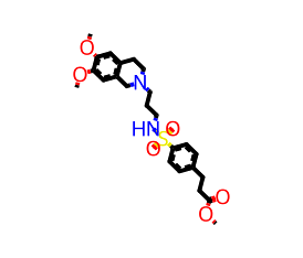 COC(=O)CCc1ccc(S(=O)(=O)NCCCN2CCc3cc(OC)c(OC)cc3C2)cc1